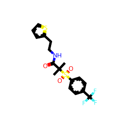 CC(C)(C(=O)NCCc1cccs1)S(=O)(=O)c1ccc(C(F)(F)F)cc1